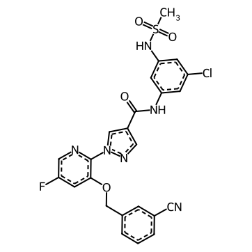 CS(=O)(=O)Nc1cc(Cl)cc(NC(=O)c2cnn(-c3ncc(F)cc3OCc3cccc(C#N)c3)c2)c1